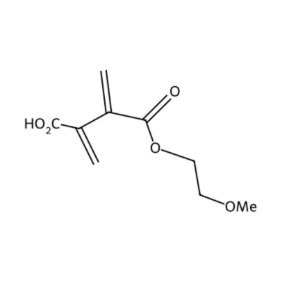 C=C(C(=C)C(=O)OCCOC)C(=O)O